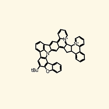 CC(C)(C)c1cc2c3cccc4c5cc6c(cc5n(c43)c2c2c1oc1ccccc12)c1c([n+]2ccccc62)C2C(C1)c1ccccc1-c1cccc[n+]12